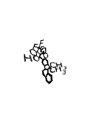 CC1(C)c2cc3oc(=O)c(C(=O)C(F)(F)F)c(O)c3cc2-c2ccc3ccccc3c21